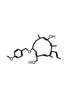 C/C=C/C1=C(C)/C=C/C(CO)=C/[C@@H](OCc2ccc(OC)cc2)CCC(C)\C=C(O)/C=C\1C